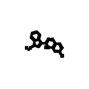 Cn1cc(C(=O)Nc2cc(Cl)[c]cc2Cl)c2ccccc21